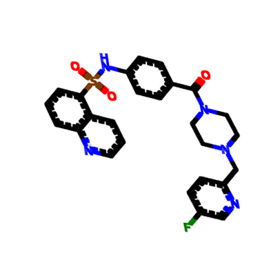 O=C(c1ccc(NS(=O)(=O)c2cccc3ncccc23)cc1)N1CCN(Cc2ccc(F)cn2)CC1